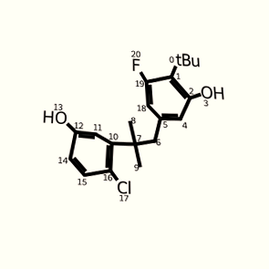 CC(C)(C)c1c(O)cc(CC(C)(C)c2cc(O)ccc2Cl)cc1F